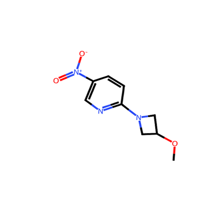 COC1CN(c2ccc([N+](=O)[O-])cn2)C1